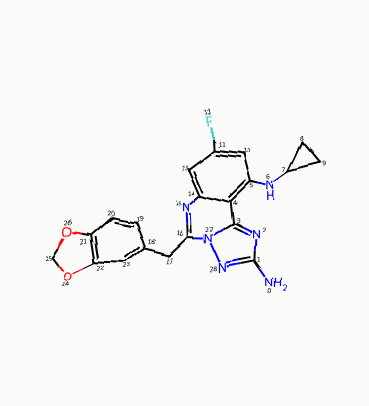 Nc1nc2c3c(NC4CC4)cc(F)cc3nc(Cc3ccc4c(c3)OCO4)n2n1